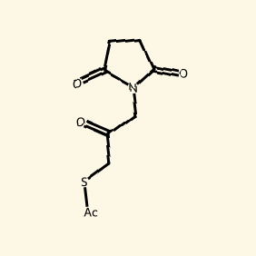 CC(=O)SCC(=O)CN1C(=O)CCC1=O